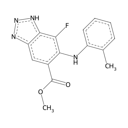 COC(=O)c1cc2nn[nH]c2c(F)c1Nc1ccccc1C